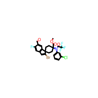 COC(=O)C1(N(C(=O)C(F)(F)F)c2cccc(Cl)c2)CCC2(CC1)C(Br)=Cc1cc(F)c(C=O)cc12